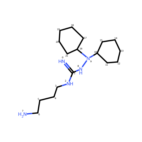 N=C(NCCCCN)NN(C1CCCCC1)C1CCCCC1